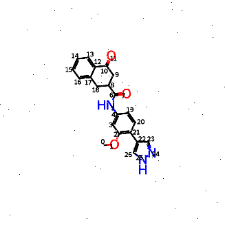 COc1cc(NC(=O)C2CC(=O)c3ccccc3C2)ccc1-c1cn[nH]c1